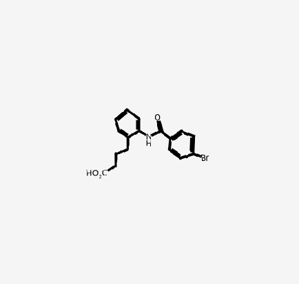 O=C(O)CCCc1ccccc1NC(=O)c1ccc(Br)cc1